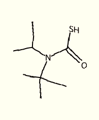 CC(C)N(C(=O)S)C(C)(C)C